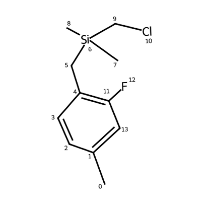 Cc1ccc(C[Si](C)(C)CCl)c(F)c1